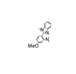 COc1ccc(C2N(C)c3ccccc3N2C)c(N(C)C)c1